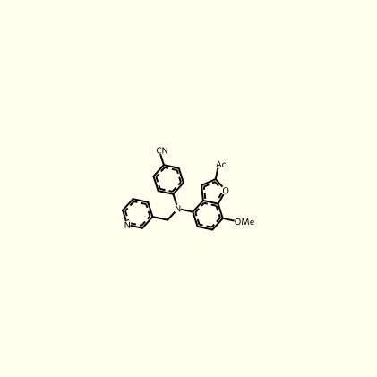 COc1ccc(N(Cc2cccnc2)c2ccc(C#N)cc2)c2cc(C(C)=O)oc12